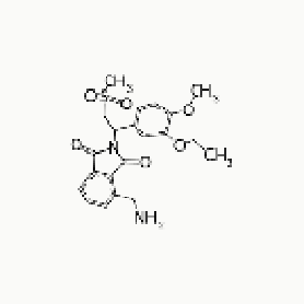 CCOc1cc(C(CS(C)(=O)=O)N2C(=O)c3cccc(CN)c3C2=O)ccc1OC